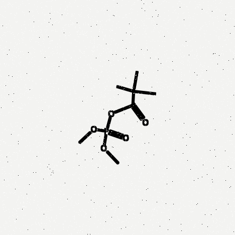 COP(=O)(OC)OC(=O)C(C)(C)C